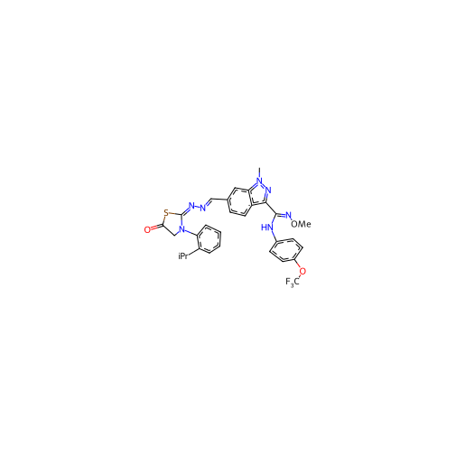 CO/N=C(\Nc1ccc(OC(F)(F)F)cc1)c1nn(C)c2cc(/C=N/N=C3/SC(=O)CN3c3ccccc3C(C)C)ccc12